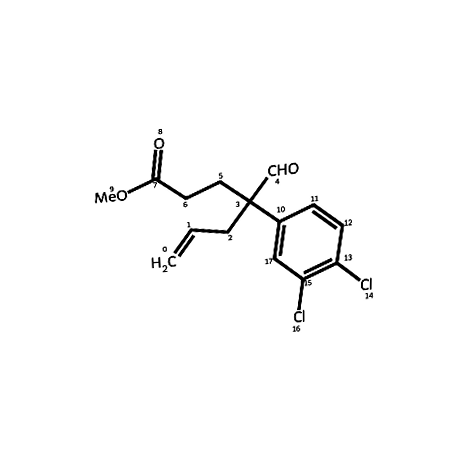 C=CCC(C=O)(CCC(=O)OC)c1ccc(Cl)c(Cl)c1